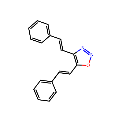 C(=Cc1nnoc1C=Cc1ccccc1)c1ccccc1